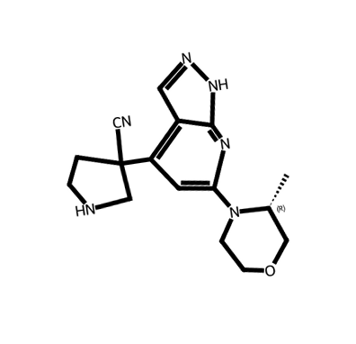 C[C@@H]1COCCN1c1cc(C2(C#N)CCNC2)c2cn[nH]c2n1